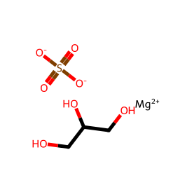 O=S(=O)([O-])[O-].OCC(O)CO.[Mg+2]